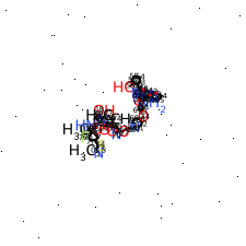 Cc1ncsc1-c1ccc([C@H](C)NC(=O)[C@@H]2C[C@@H](O)CN2C(=O)[C@@H](c2cc(OCCN3CCC(O[C@H]4C[C@H](Oc5cc(N6C7CCC6CN(c6cc(-c8ccccc8O)nnc6N)C7)ccn5)C4)CC3)no2)C(C)C)c(F)c1